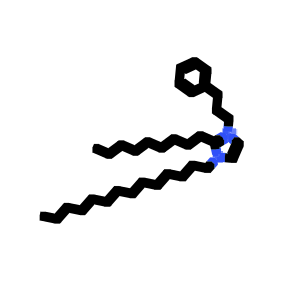 CCCCCCCCCCCCCCn1cc[n+](CCCc2ccccc2)c1CCCCCCCCC